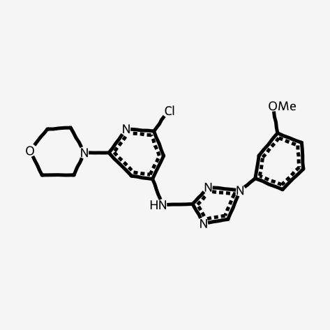 COc1cccc(-n2cnc(Nc3cc(Cl)nc(N4CCOCC4)c3)n2)c1